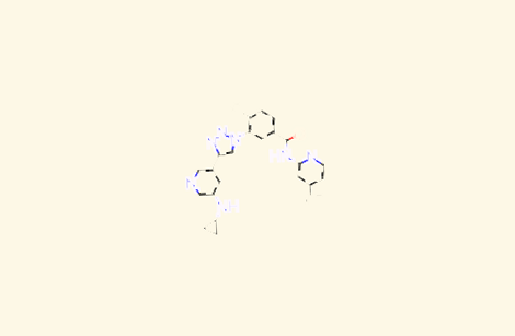 Cc1ccc(C(=O)Nc2cc(C(F)(F)F)ccn2)cc1-n1cc(-c2cncc(NC3CC3)c2)nn1